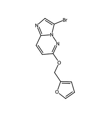 Brc1cnc2ccc(OCc3ccco3)nn12